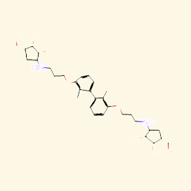 Cc1c(OCCCNC2C[C@H](CO)[C@@H](O)[C@H]2O)cccc1-c1cccc(OCCCNC2C[C@H](CO)[C@@H](O)[C@H]2O)c1C